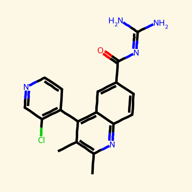 Cc1nc2ccc(C(=O)N=C(N)N)cc2c(-c2ccncc2Cl)c1C